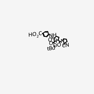 CC(C)(C)OC(=O)N1C(C(=O)N2CCC[C@H]2C#N)CC[C@H]1C(=O)Nc1ccc(C(=O)O)cc1